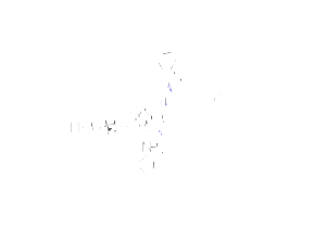 COS(=O)(=O)N(C)C1=C(/C=C/C2=[N+](CCCCSOOO)c3ccccc3C2(C)C)CC/C1=C\C=C1\N(CCCCS(=O)(=O)O)c2ccccc2C1(C)C